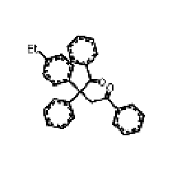 CCc1ccc(C(CC(=O)c2ccccc2)(C(=O)c2ccccc2)c2ccccc2)cc1